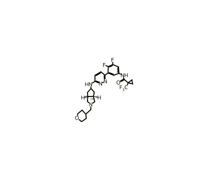 O=C(Nc1cc(F)c(F)c(-c2ccc(NC3C[C@@H]4CN(CC5CCOCC5)C[C@@H]4C3)nn2)c1)C1(C(F)(F)F)CC1